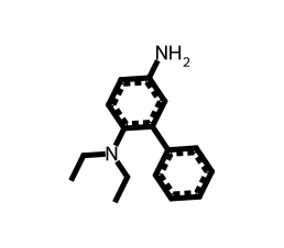 CCN(CC)c1ccc(N)cc1-c1ccccc1